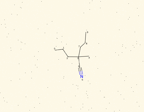 CCCC(C)(C#N)CCC